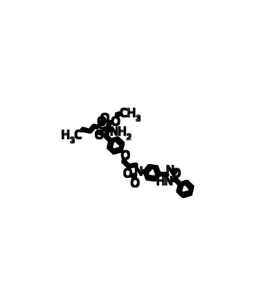 CCCCS(=O)(=O)C(N)(Cc1ccc(OCC2CN(c3ccc(C4=NOC(c5ccccc5)N4)cc3)C(=O)O2)cc1)C(=O)OCC